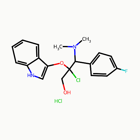 CN(C)C(c1ccc(F)cc1)C(Cl)(CO)Oc1c[nH]c2ccccc12.Cl